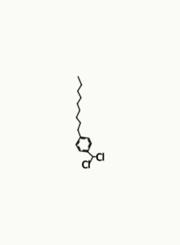 CCCCCCCCCc1ccc(C(Cl)Cl)cc1